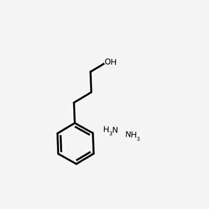 N.N.OCCCc1ccccc1